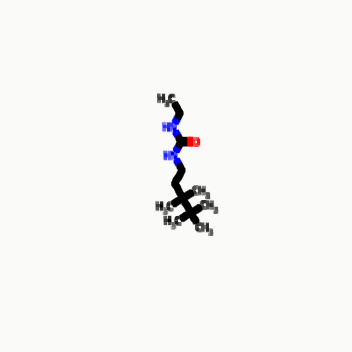 CCNC(=O)NCCC(C)(C)C(C)(C)C